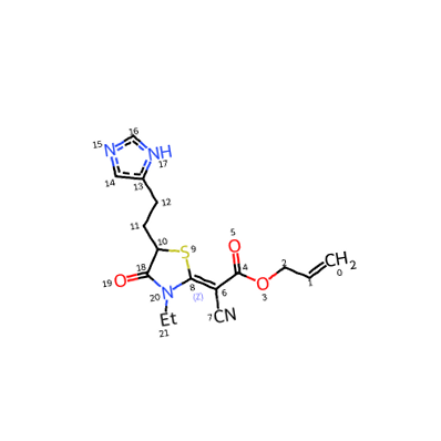 C=CCOC(=O)/C(C#N)=C1\SC(CCc2cnc[nH]2)C(=O)N1CC